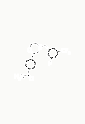 NC(=O)c1ccc(C2CN(Cc3cc(F)cc(C(F)(F)F)c3)CCO2)cc1